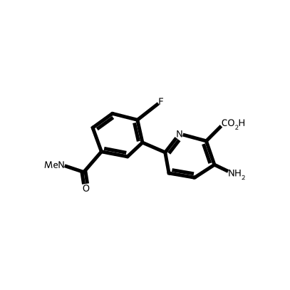 CNC(=O)c1ccc(F)c(-c2ccc(N)c(C(=O)O)n2)c1